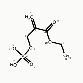 C=C(COP(=O)(O)O)C(=O)OCC